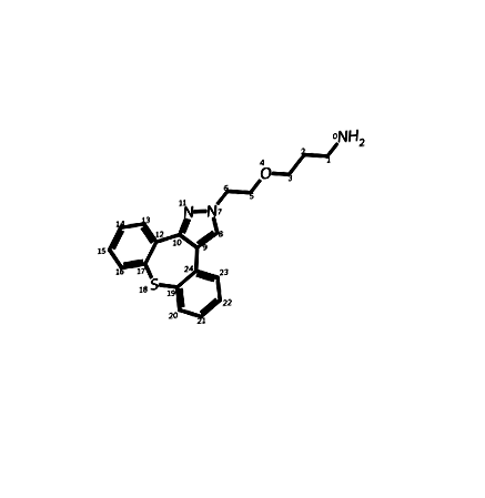 NCCCOCCn1cc2c(n1)-c1ccccc1Sc1ccccc1-2